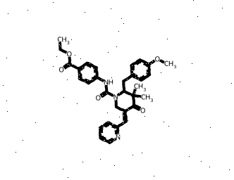 CCOC(=O)c1ccc(NC(=O)N2CC(=Cc3ccccn3)C(=O)C(C)(C)C2Cc2ccc(OC)cc2)cc1